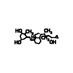 C=C1/C(=C/C=C2/CCC[C@]3(C)[C@@H]([C@H](C)/C=C/[C@@H](O)C4CC4)CC[C@@H]23)C[C@@H](O)C[C@@H]1O